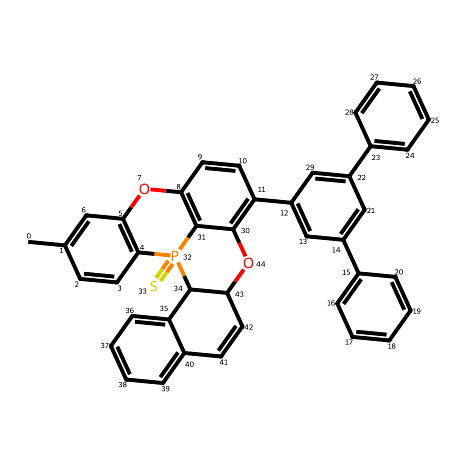 Cc1ccc2c(c1)Oc1ccc(-c3cc(-c4ccccc4)cc(-c4ccccc4)c3)c3c1P2(=S)C1c2ccccc2C=CC1O3